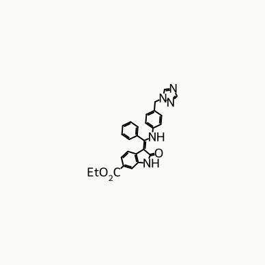 CCOC(=O)c1ccc2c(c1)NC(=O)/C2=C(\Nc1ccc(Cn2cncn2)cc1)c1ccccc1